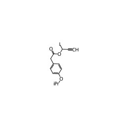 C#CC(I)OC(=O)Cc1ccc(OC(C)C)cc1